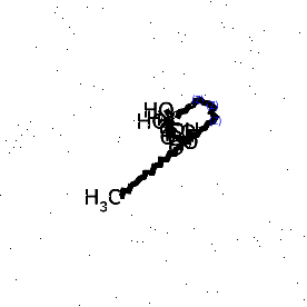 CCCCC/C=C\C/C=C\C/C=C\CCCCC(=O)O[C@H](COCCCCCCCCCCCCCCCC)COP(=O)(O)OC[C@@H](O)CO